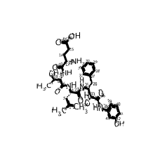 CC(C)C[C@H](NC(=O)[C@@H](NC(=O)[C@@H](N)CCC(=O)O)C(C)C)C(=O)N[C@@H](Cc1ccccc1)[C@@H](O)C(=O)Nc1cccc(O)c1